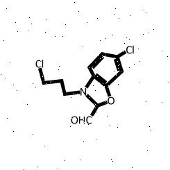 O=CC1Oc2cc(Cl)ccc2N1CCCCl